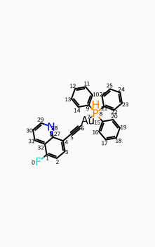 Fc1ccc(C#[C][Au][PH](c2ccccc2)(c2ccccc2)c2ccccc2)c2ncccc12